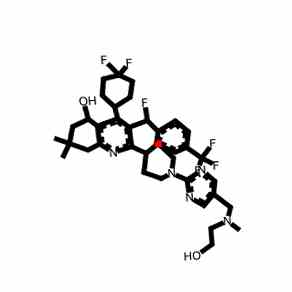 CN(CCO)Cc1cnc(N2CCC(c3nc4c(c(C5CCC(F)(F)CC5)c3C(F)c3ccc(C(F)(F)F)cc3)C(O)CC(C)(C)C4)CC2)nc1